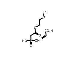 C=CC(=O)O.CCOCCOC(=O)CP(=O)(O)O